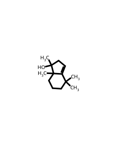 CC1(C)CCCC2(C)C1=CCC2(C)O